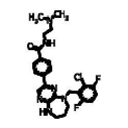 CN(C)CCNC(=O)c1ccc(-c2cnc3c(n2)N(Cc2c(F)ccc(F)c2Cl)CCCN3)cc1